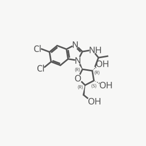 CC(C)Nc1nc2cc(Cl)c(Cl)cc2n1[C@@H]1O[C@H](CO)[C@@H](O)[C@H]1O